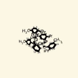 Cc1ccc(C(C)C)c(OP(OCc2ccccc2OP(Oc2cc(C)ccc2C(C)C)Oc2cc(C)ccc2C(C)C)OC2=CC(C)CC=C2C(C)C)c1